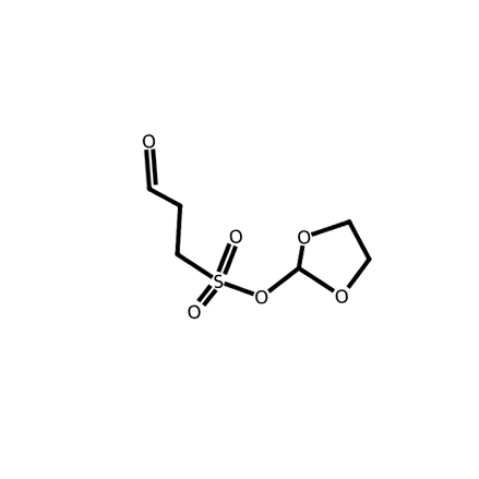 O=CCCS(=O)(=O)OC1OCCO1